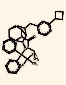 CCOC(=O)N1C2CC3CC1[C@H](O[Si](c1ccccc1)(c1ccccc1)C(C)(C)C)C2N(Cc1cccc(C2CCC2)c1)C3